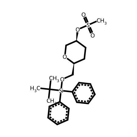 CC(C)(C)[Si](OC[C@@H]1CC[C@H](OS(C)(=O)=O)CO1)(c1ccccc1)c1ccccc1